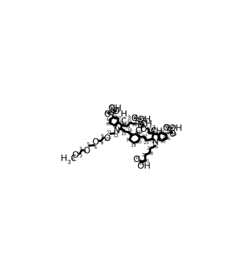 COCCOCCOCCOCCN1/C(=C/C=C2\CCCC(/C=C/C3=[N+](CCCCCC(=O)O)c4ccc(S(=O)(=O)O)cc4C3(C)CCOC)=C2Cl)C(C)(CCCS(=O)(=O)O)c2cc(S(=O)(=O)O)ccc21